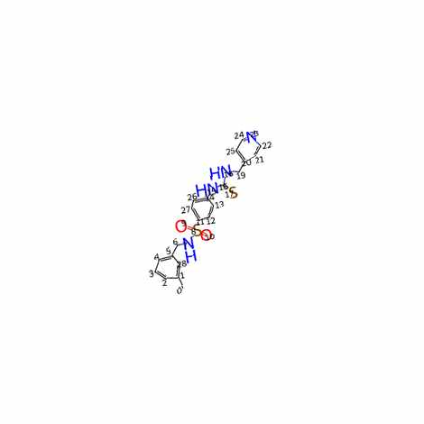 Cc1cccc(CNS(=O)(=O)c2ccc(NC(=S)NCc3ccncc3)cc2)c1